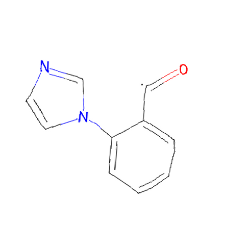 O=[C]c1ccccc1-n1ccnc1